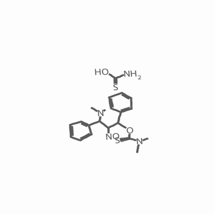 CN(C)C(=S)OC(c1ccccc1)C(C(c1ccccc1)N(C)C)[N+](=O)[O-].NC(O)=S